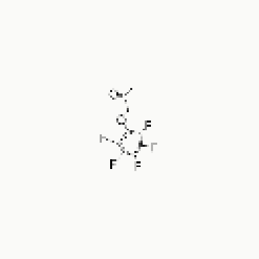 CC(=O)COc1c(F)c(F)c(F)c(F)c1F